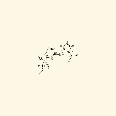 CCNS(=O)(=O)c1cccc(Nc2cncn2C(C)C)c1